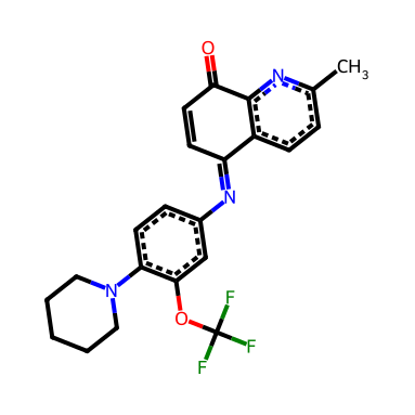 Cc1ccc2c(n1)C(=O)C=CC2=Nc1ccc(N2CCCCC2)c(OC(F)(F)F)c1